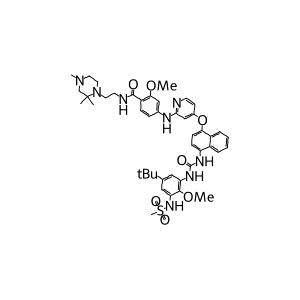 COc1cc(Nc2cc(Oc3ccc(NC(=O)Nc4cc(C(C)(C)C)cc(NS(C)(=O)=O)c4OC)c4ccccc34)ccn2)ccc1C(=O)NCCN1CCN(C)CC1(C)C